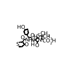 CC1(C)S[C@@H]2[C@H](NC(=O)C(NC(=O)c3csccc3=O)c3ccc(O)cc3)C(=O)N2[C@H]1C(=O)O